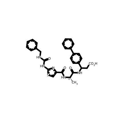 C[C@H](NC(=O)c1csc(NC(=O)NCc2ccccc2)n1)C(=O)NC(CC(=O)O)c1ccc(-c2ccccc2)cc1